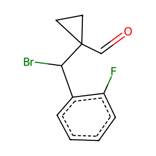 O=CC1(C(Br)c2ccccc2F)CC1